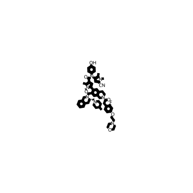 Cc1c(N(C(=O)c2cc(-c3cc4c(cc3C(=O)N3Cc5ccccc5C[C@H]3CN3CCC(C)CC3)CN(C(=O)Cc3ccc(OCCN5CCOCC5)cc3F)CC4)n(C)c2C)c2ccc(O)cc2)cc(C#N)n1C